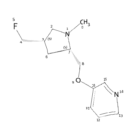 CN1C[C@@H](CF)C[C@H]1COc1cccnc1